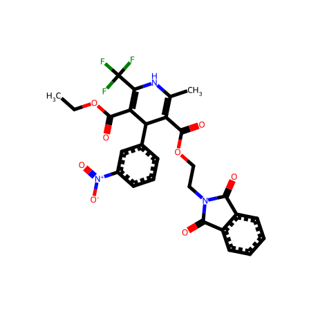 CCOC(=O)C1=C(C(F)(F)F)NC(C)=C(C(=O)OCCN2C(=O)c3ccccc3C2=O)C1c1cccc([N+](=O)[O-])c1